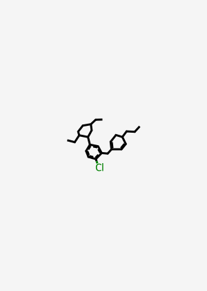 CCCC1C=CC(Cc2cc(C3CC(CC)CCC3CC)ccc2Cl)=CC1